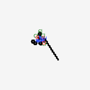 CCCCCCCCCCCCC=CCCC(Cl)CC1CC(=O)N(N(c2ccccc2)c2[nH]n(-c3c(Cl)cc(Cl)cc3Cl)c(=O)c2N=Nc2cccc3ccccc23)C1=O